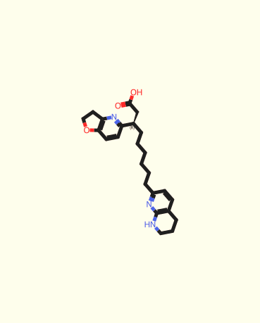 O=C(O)C[C@@H](CCCCCCc1ccc2c(n1)NCCC2)c1ccc2c(n1)CCO2